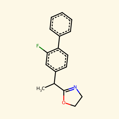 CC(C1=NCCO1)c1ccc(-c2ccccc2)c(F)c1